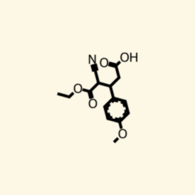 CCOC(=O)C(C#N)C(CC(=O)O)c1ccc(OC)cc1